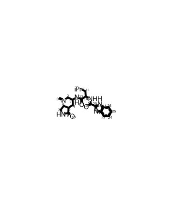 C=NCC(CC1CCNC1=O)NC(=O)C(CC(C)C)NC(=O)c1nc2ccccc2[nH]1